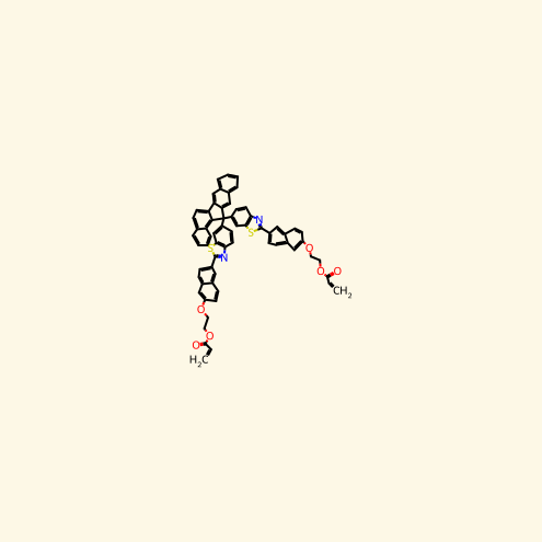 C=CC(=O)OCCOc1ccc2cc(-c3nc4ccc(C5(c6ccc7nc(-c8ccc9cc(OCCOC(=O)C=C)ccc9c8)sc7c6)c6cc7ccccc7cc6-c6ccc7ccccc7c65)cc4s3)ccc2c1